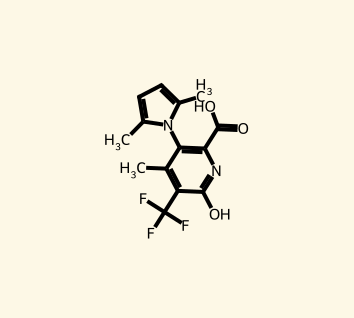 Cc1c(-n2c(C)ccc2C)c(C(=O)O)nc(O)c1C(F)(F)F